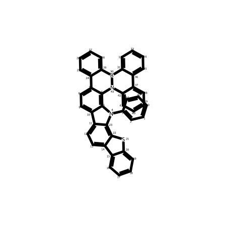 c1ccc(-n2c3c4c(ccc3c3ccc5c6ccccc6sc5c32)-c2ccccc2B2c3ccccc3-c3ccccc3N24)cc1